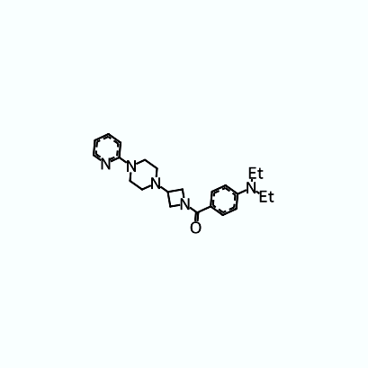 CCN(CC)c1ccc(C(=O)N2CC(N3CCN(c4ccccn4)CC3)C2)cc1